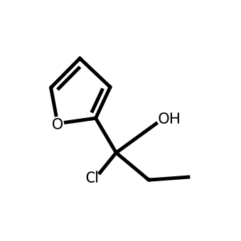 CCC(O)(Cl)c1ccco1